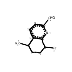 CC1CCC(C(C)C)c2nc(C=O)ccc21